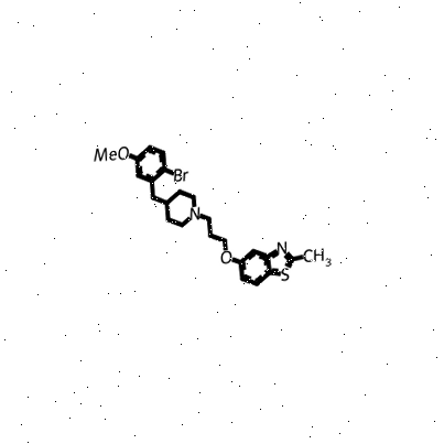 COc1ccc(Br)c(CC2CCN(CCCOc3ccc4sc(C)nc4c3)CC2)c1